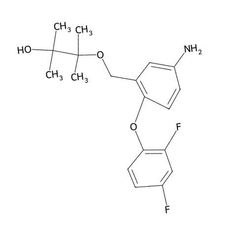 CC(C)(O)C(C)(C)OCc1cc(N)ccc1Oc1ccc(F)cc1F